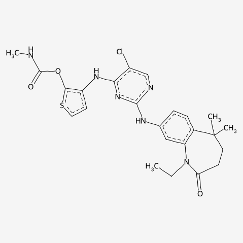 CCN1C(=O)CCC(C)(C)c2ccc(Nc3ncc(Cl)c(Nc4ccsc4OC(=O)NC)n3)cc21